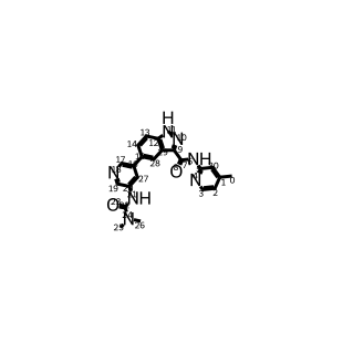 Cc1ccnc(NC(=O)c2n[nH]c3ccc(-c4cncc(NC(=O)N(C)C)c4)cc23)c1